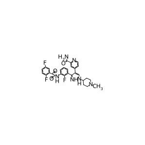 CN1CCC(N/C=C(\C(=N)c2cccc(NS(=O)(=O)c3cc(F)ccc3F)c2F)c2ccnc(C(N)=O)c2)CC1